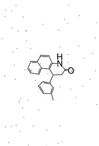 Cc1cccc(C2CC(=O)Nc3ccc4ccccc4c32)c1